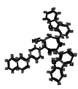 CC1=C(c2ccc(-c3ccc4ccccc4c3)cc2)N=C(c2cccc3c2oc2ccccc23)N=C(c2cccc3c2oc2ccccc23)C1